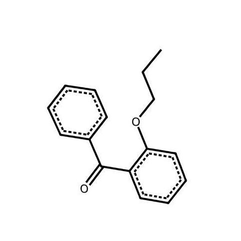 CCCOc1ccccc1C(=O)c1ccccc1